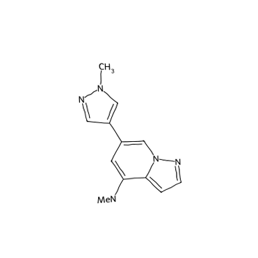 CNc1cc(-c2cnn(C)c2)cn2nccc12